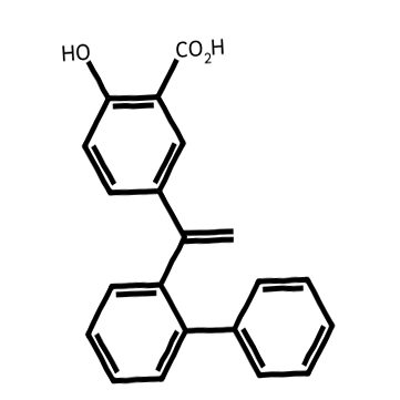 C=C(c1ccc(O)c(C(=O)O)c1)c1ccccc1-c1ccccc1